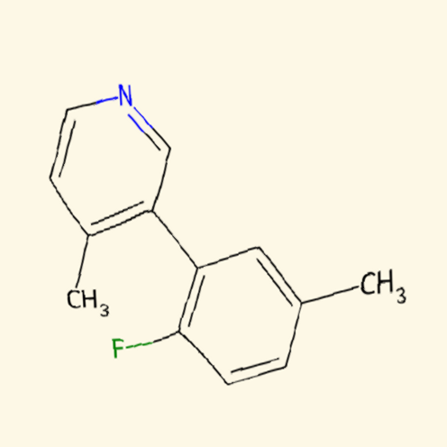 Cc1ccc(F)c(-c2cnccc2C)c1